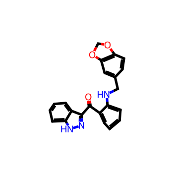 O=C(c1ccccc1NCc1ccc2c(c1)OCO2)c1n[nH]c2ccccc12